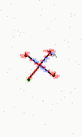 CC(=O)N[C@H]1[C@H](OCCCCC(=O)NCCCNC(=O)CCOCC(COCCC(=O)NCCCNC(=O)CCCCO[C@H]2C[C@@H](O)[C@@H](O)[C@@H](CO)O2)(COCCC(=O)NCCCNC(=O)CCCCO[C@H]2C[C@@H](O)[C@@H](O)[C@@H](CO)O2)NC(=O)CCOCCOCCOCCOCCC(=O)Oc2c(F)c(F)c(F)c(F)c2F)O[C@H](CO)[C@H](O)[C@@H]1O